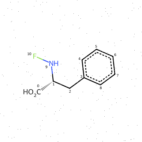 O=C(O)[C@@H](Cc1ccccc1)NF